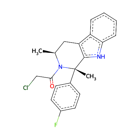 C[C@H]1Cc2c([nH]c3ccccc23)[C@](C)(c2ccc(F)cc2)N1C(=O)CCl